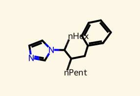 CCCCCCC(C(CCCCC)Cc1ccccc1)n1ccnc1